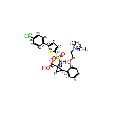 CN(C)CCOc1ccccc1C1CC1(NS(=O)(=O)c1ccc(-c2ccc(Cl)cc2)s1)C(=O)O